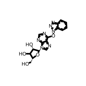 OC[C@H]1O[C@@H](n2cnc3c(On4nnc5ccccc54)ncnc32)[C@@H](O)C1O